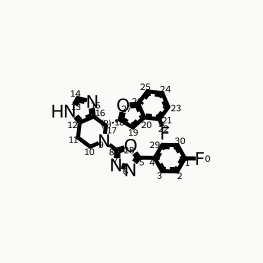 Fc1ccc(-c2nnc(N3CCc4[nH]cnc4[C@@H]3c3cc4c(F)cccc4o3)o2)cc1